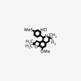 COc1cc2c(c3c1OC(C)(C)C3)C(c1ccc(SC)cc1)=NC(C)(C)C2.Cl